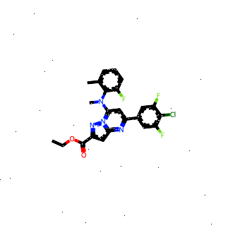 CCOC(=O)c1cc2nc(-c3cc(F)c(Cl)c(F)c3)cc(N(C)c3c(C)cccc3F)n2n1